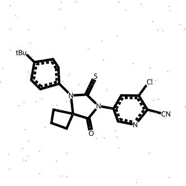 CC(C)(C)c1ccc(N2C(=S)N(c3cnc(C#N)c(Cl)c3)C(=O)C23CCC3)cc1